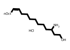 CCCCCCCC/C=C\CCCCCCCC(N)CCO.Cl